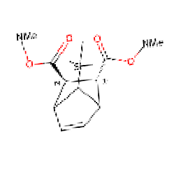 CNOC(=O)[C@@H]1C2C=CC(C2[Si](C)(C)C)[C@H]1C(=O)ONC